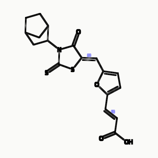 O=C(O)/C=C/c1ccc(/C=C2\SC(=S)N(C3CC4CCC3C4)C2=O)o1